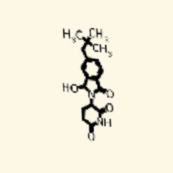 CC(C)(C)Cc1ccc2c(c1)C(O)N(C1CCC(=O)NC1=O)C2=O